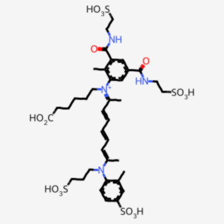 C\C(=C/C=C/C=C/C(C)=[N+](\CCCCCC(=O)O)c1cc(C(=O)NCCS(=O)(=O)O)cc(C(=O)NCCS(=O)(=O)O)c1C)N(CCCS(=O)(=O)O)c1ccc(S(=O)(=O)O)cc1C